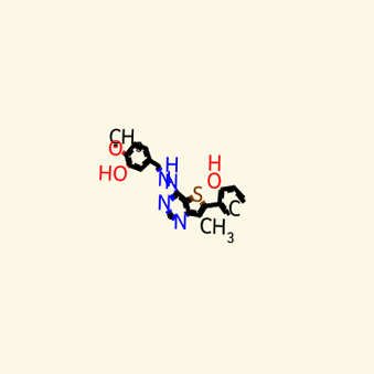 COc1ccc(C=NNc2ncnc3c(C)c(-c4ccccc4O)sc23)cc1O